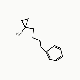 NC1(CCOCc2ccccc2)CC1